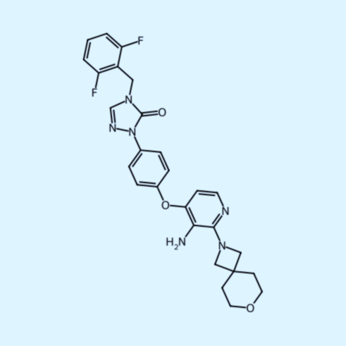 Nc1c(Oc2ccc(-n3ncn(Cc4c(F)cccc4F)c3=O)cc2)ccnc1N1CC2(CCOCC2)C1